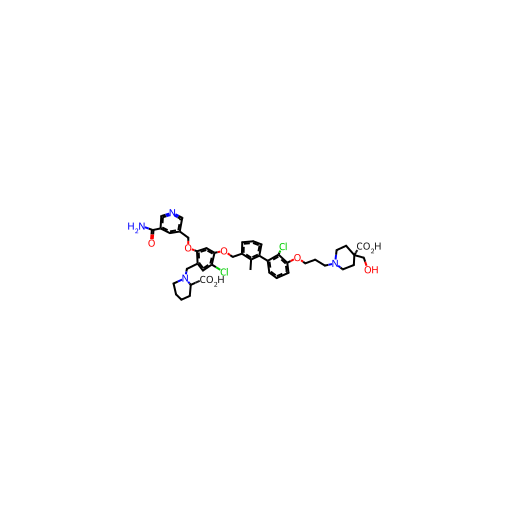 Cc1c(COc2cc(OCc3cncc(C(N)=O)c3)c(CN3CCCCC3C(=O)O)cc2Cl)cccc1-c1cccc(OCCCN2CCC(CO)(C(=O)O)CC2)c1Cl